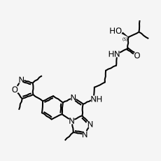 Cc1noc(C)c1-c1ccc2c(c1)nc(NCCCCNC(=O)[C@@H](O)C(C)C)c1nnc(C)n12